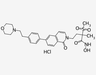 CC(CCn1ccc2cc(-c3ccc(CCN4CCOCC4)cc3)ccc2c1=O)(C(=O)NO)S(C)(=O)=O.Cl